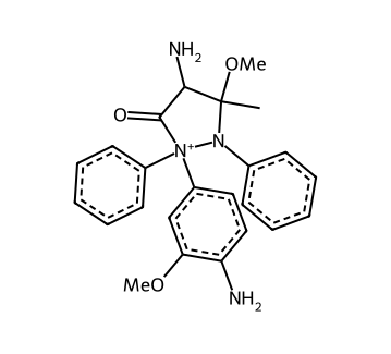 COc1cc([N+]2(c3ccccc3)C(=O)C(N)C(C)(OC)N2c2ccccc2)ccc1N